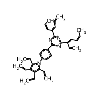 C=C/C=C(\C=C/C)c1nc(/C(C=C)=C/C=C\C)nc(-c2ccc(-n3c(C=C)c(C=C)c(C=C)c3C=C)cc2)n1